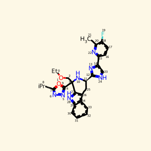 CCOCC1(c2nnc(C(C)C)o2)N[C@@H](c2nc(-c3ccc(F)c(C)n3)c[nH]2)Cc2c1[nH]c1ccccc21